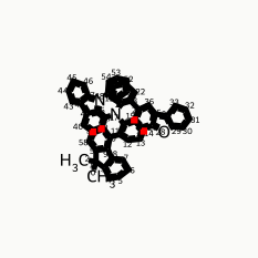 CC1(C)c2ccccc2-c2c(-c3ccccc3N(c3ccccc3-c3ccc4oc5ccccc5c4c3)c3cccc4c5ccccc5n(-c5ccccc5)c34)cccc21